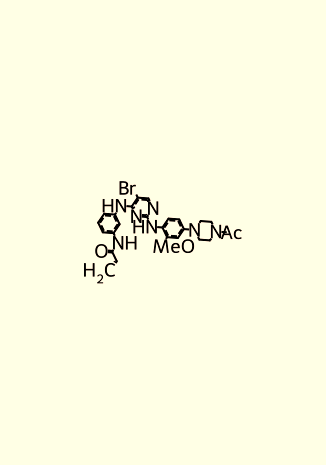 C=CC(=O)Nc1cccc(Nc2nc(Nc3ccc(N4CCN(C(C)=O)CC4)cc3OC)ncc2Br)c1